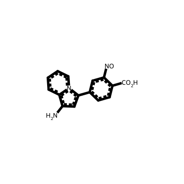 Nc1cc(-c2ccc(C(=O)O)c(N=O)c2)n2ccccc12